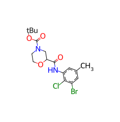 Cc1cc(Br)c(Cl)c(NC(=O)C2CN(C(=O)OC(C)(C)C)CCO2)c1